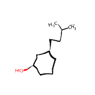 CC(C)CC[C@H]1CCC[C@@H](O)C1